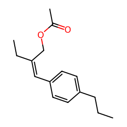 CCCc1ccc(C=C(CC)COC(C)=O)cc1